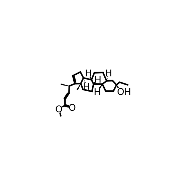 CC[C@]1(O)CC[C@H]2[C@@H](CC[C@@H]3[C@@H]2CC[C@]2(C)C([C@H](C)/C=C/C(=O)OC)=CC[C@@H]32)C1